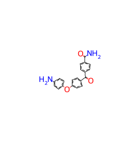 NC(=O)c1ccc(C(=O)c2ccc(Oc3ccc(N)cc3)cc2)cc1